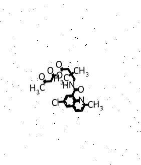 CC(=O)CC(=O)OC(=O)CC(C)(C)CNC(=O)c1cc(Cl)cc2ccc(C)nc12